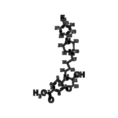 CC(=O)c1ccc2c(c1)OCC(O)N2CCCCN1CCN(c2ccc(F)cc2)CC1